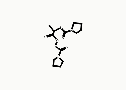 CC(SC(=S)N1CCCC1)C(=O)OSC(=S)N1CCCC1